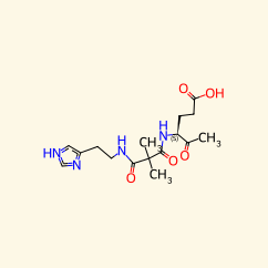 CC(=O)[C@H](CCC(=O)O)NC(=O)C(C)(C)C(=O)NCCc1c[nH]cn1